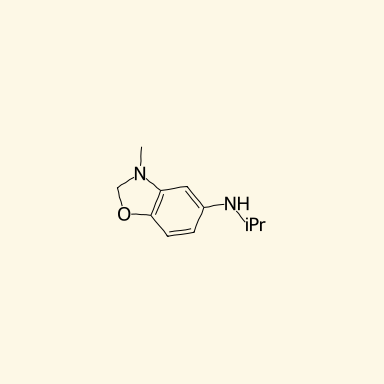 CC(C)Nc1ccc2c(c1)N(C)CO2